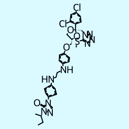 CCC(C)n1ncn(-c2ccc(NCCNc3ccc(OC[C@@H]4CO[C@@](Cn5nnnc5SC)(c5ccc(Cl)cc5Cl)O4)cc3)cc2)c1=O